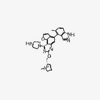 Cc1ccc2[nH]ncc2c1-c1cc2nc(OC[C@@H]3CCCN3C)nc(N3CCNCC3)c2c2occc12